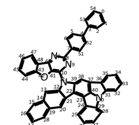 c1ccc(-c2ccc(-c3nc(-n4c5cc6ccccc6cc5c5c6c7ccccc7n7c8ccccc8c(cc54)c67)c4oc5ccccc5c4n3)cc2)cc1